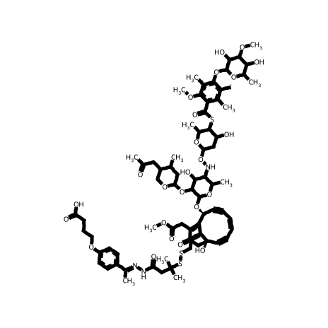 COC(=O)CC1=C2/C(=C/CSSC(C)(C)CC(=O)N/N=C(\C)c3ccc(OCCCC(=O)O)cc3)[C@](O)(C#C/C=C\C#C[C@@H]2OC2OC(C)C(NOC3CC(O)C(SC(=O)c4c(C)c(I)c(OC5OC(C)C(O)C(OC)C5O)c(C)c4OC)C(C)O3)C(O)C2OC2CC(C)C(CC(C)=O)CO2)CC1=O